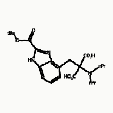 CCCN(CCC)C(Cc1cccc2[nH]c(C(=O)OC(C)(C)C)nc12)(C(=O)O)C(=O)O